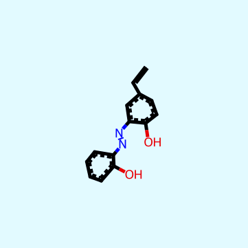 C=Cc1ccc(O)c(/N=N/c2ccccc2O)c1